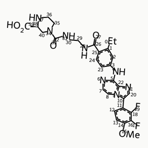 CCc1cc(Nc2nccn3c(-c4ccc(OC)c(F)c4F)cnc23)ccc1C(=O)NCCNC(=O)N1CCN[C@H](C(=O)O)C1